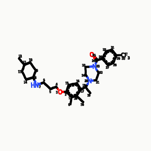 Cc1c(OCCCNC2CCC(C)CC2)ccc(C(C)N2CCN(C(=O)c3ccc(C(F)(F)F)cc3)CC2)c1C